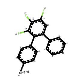 CCCCCc1ccc(-c2c(-c3ccccc3)cc(F)c(F)c2F)cc1